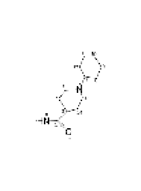 [NH]C(=O)C1CCN(C2CCCCC2)CC1